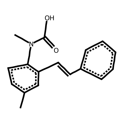 Cc1ccc(N(C)C(=O)O)c(C=Cc2ccccc2)c1